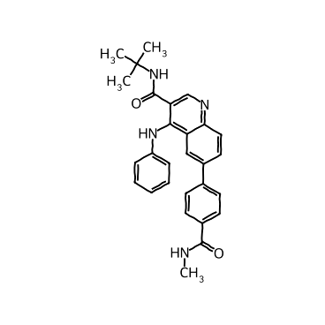 CNC(=O)c1ccc(-c2ccc3ncc(C(=O)NC(C)(C)C)c(Nc4ccccc4)c3c2)cc1